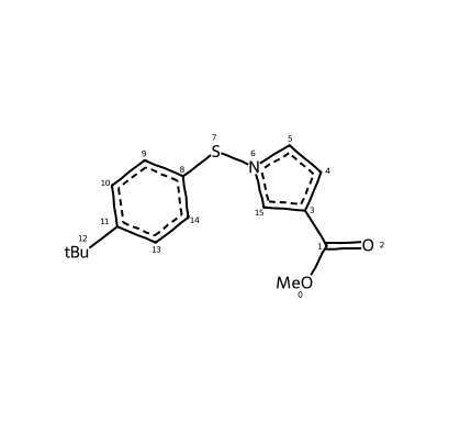 COC(=O)c1ccn(Sc2ccc(C(C)(C)C)cc2)c1